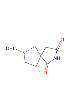 O=CN1CCC2(CC(=O)NC2=O)C1